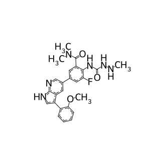 CNNC(=O)Nc1c(F)cc(-c2cnc3[nH]cc(-c4ccccc4OC)c3c2)cc1C(=O)N(C)C